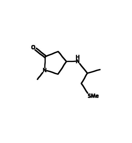 CSCC(C)NC1CC(=O)N(C)C1